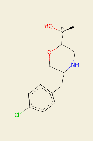 C[C@H](O)C1CNC(Cc2ccc(Cl)cc2)CO1